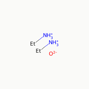 CC[NH3+].CC[NH3+].[O-2]